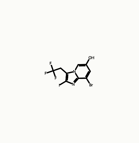 Oc1cc(Br)c2nc(I)c(CC(F)(F)F)n2c1